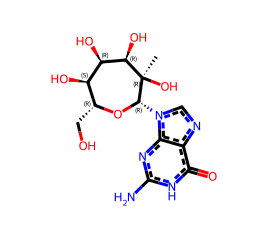 C[C@@]1(O)[C@H](O)[C@H](O)[C@H](O)[C@@H](CO)O[C@H]1n1cnc2c(=O)[nH]c(N)nc21